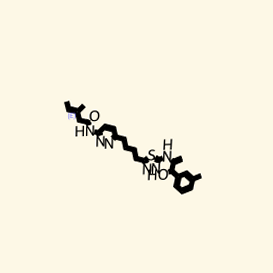 C=C(Nc1nnc(CCCCc2ccc(NC(=O)C/C(C)=C/C)nn2)s1)C(O)c1cccc(C)c1